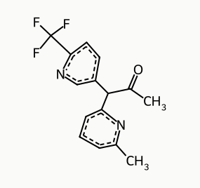 CC(=O)C(c1ccc(C(F)(F)F)nc1)c1cccc(C)n1